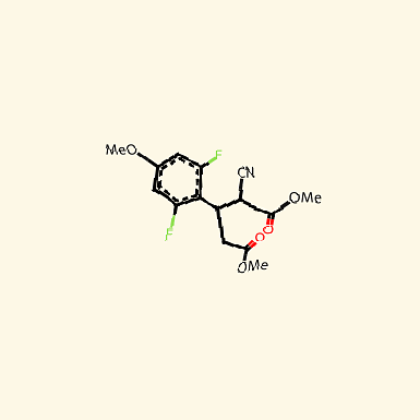 COC(=O)CC(c1c(F)cc(OC)cc1F)C(C#N)C(=O)OC